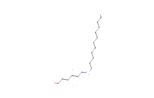 CCCCCCCCCCCCN(C)C[C@H](O)[C@@H](O)[C@H](O)[C@H](O)CO